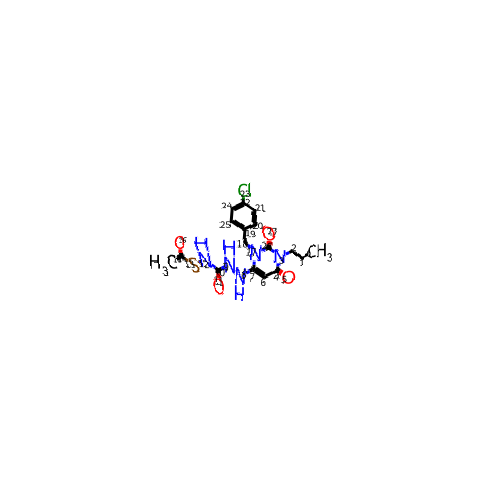 CCCn1c(=O)cc(NNC(=O)NSC(C)=O)n(Cc2ccc(Cl)cc2)c1=O